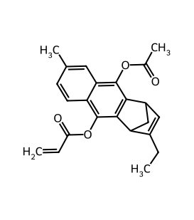 C=CC(=O)Oc1c2c(c(OC(C)=O)c3cc(C)ccc13)C1C=C(CC)C2C1